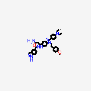 [CH2]CN(C[CH2])c1ccc(-c2nc3cc(C(CC(N)=O)NCc4ccc5[nH]ncc5c4)ccc3n2CCc2ccc(OC)cc2)cc1